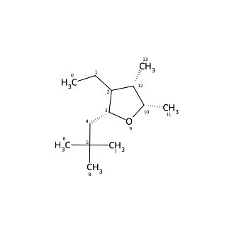 CCC1[C@@H](CC(C)(C)C)O[C@@H](C)[C@H]1C